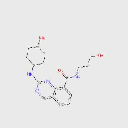 O=C(NCCCO)c1cccc2cnc(NC3CCC(O)CC3)nc12